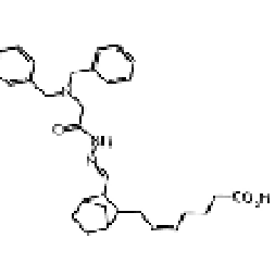 O=C(O)CCC/C=C\CC1C2CCC(C2)C1C=NNC(=O)CN(Cc1ccccc1)Cc1ccccc1